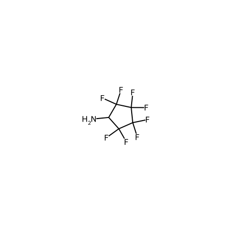 NC1C(F)(F)C(F)(F)C(F)(F)C1(F)F